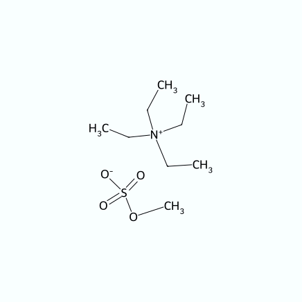 CC[N+](CC)(CC)CC.COS(=O)(=O)[O-]